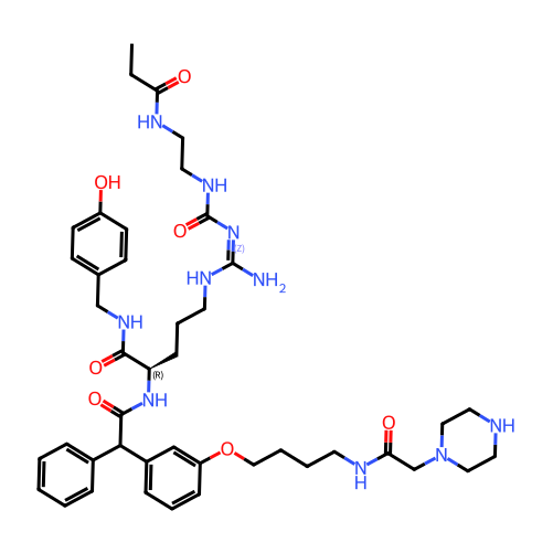 CCC(=O)NCCNC(=O)/N=C(/N)NCCC[C@@H](NC(=O)C(c1ccccc1)c1cccc(OCCCCNC(=O)CN2CCNCC2)c1)C(=O)NCc1ccc(O)cc1